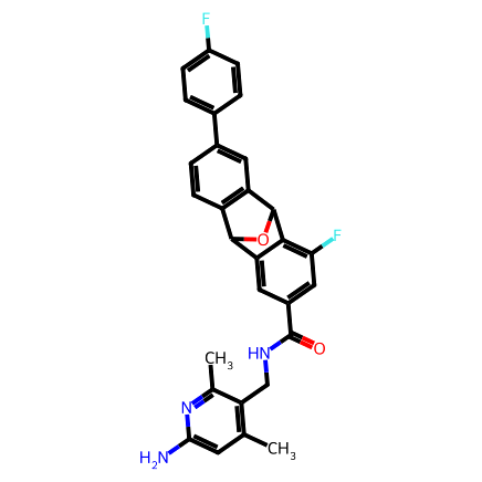 Cc1cc(N)nc(C)c1CNC(=O)c1cc(F)c2c(c1)C1OC2c2cc(-c3ccc(F)cc3)ccc21